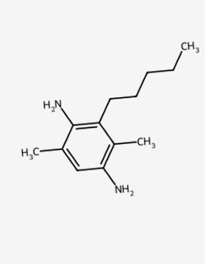 CCCCCc1c(C)c(N)cc(C)c1N